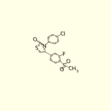 CS(=O)(=O)c1ccc(-c2csc(=O)n2-c2ccc(Cl)cc2)cc1F